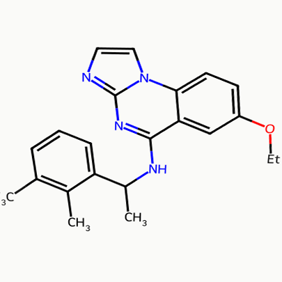 CCOc1ccc2c(c1)c(NC(C)c1cccc(C(F)(F)F)c1C)nc1nccn12